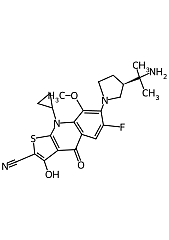 COc1c(N2CC[C@@H](C(C)(C)N)C2)c(F)cc2c(=O)c3c(O)c(C#N)sc3n(C3CC3)c12